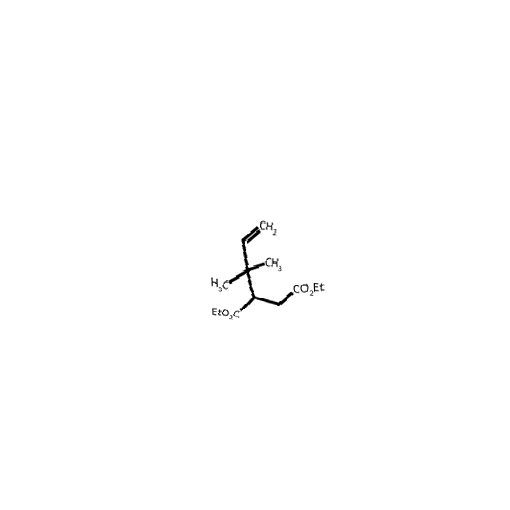 C=CC(C)(C)C(CC(=O)OCC)C(=O)OCC